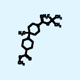 COC(=O)C1CCN(C2(C)CCN(C(=O)OC(C)(C)C)CC2)CC1